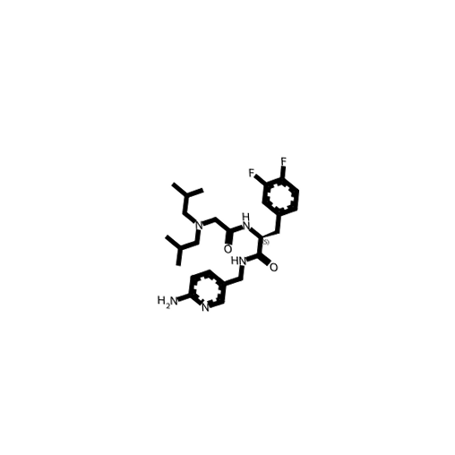 CC(C)CN(CC(=O)N[C@@H](Cc1ccc(F)c(F)c1)C(=O)NCc1ccc(N)nc1)CC(C)C